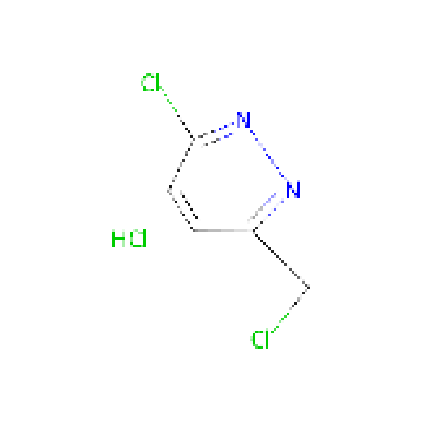 Cl.ClCc1ccc(Cl)nn1